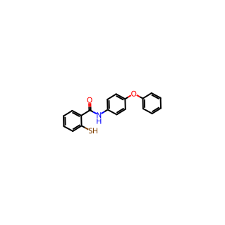 O=C(Nc1ccc(Oc2ccccc2)cc1)c1ccccc1S